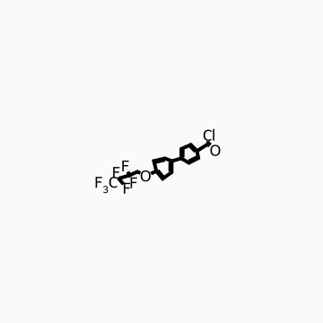 O=C(Cl)c1ccc(-c2ccc(OCC(F)(F)C(F)(F)C(F)(F)F)cc2)cc1